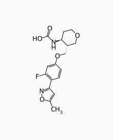 Cc1cc(-c2ccc(OC[C@H]3COCC[C@@H]3NC(=O)O)cc2F)no1